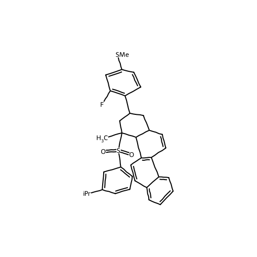 CSc1ccc(C2CC3C=Cc4c(ccc5ccccc45)C3C(C)(S(=O)(=O)c3cccc(C(C)C)c3)C2)c(F)c1